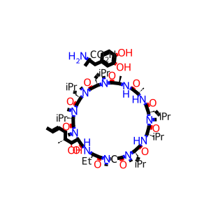 C/C=C/C[C@@H](C)[C@@H](O)[C@H]1C(=O)N[C@@H](CC)C(=O)N(C)CC(=O)N(C)[C@@H](CC(C)C)C(=O)N[C@@H](C(C)C)C(=O)N(C)[C@@H](CC(C)C)C(=O)N[C@@H](C)C(=O)N[C@H](C)C(=O)N(C)[C@@H](CC(C)C)C(=O)N(C)[C@@H](CC(C)C)C(=O)N(C)[C@@H](C(C)C)C(=O)N1C.C[C@](N)(Cc1ccc(O)c(O)c1)C(=O)O